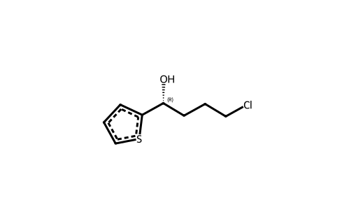 O[C@H](CCCCl)c1cccs1